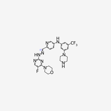 Fc1cnc(N/N=C/c2ccc(Nc3cc(N4CCNCC4)cc(C(F)(F)F)c3)cn2)nc1N1CCOCC1